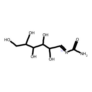 NC(=O)/N=C/C(O)C(O)C(O)C(O)CO